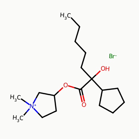 CCCCCC(O)(C(=O)OC1CC[N+](C)(C)C1)C1CCCC1.[Br-]